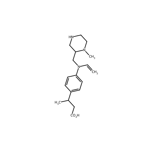 C=CN(CC1CNCCN1C)c1ccc(C(C)CC(=O)O)cc1